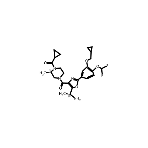 C[C@H](N)c1oc(-c2ccc(OC(F)F)c(OCC3CC3)c2)nc1C(=O)N1CCN(C(=O)C2CC2)[C@H](C)C1